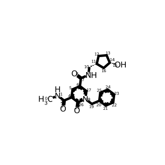 CNC(=O)c1cc(C(=O)NC[C@@H]2CC[C@H](O)C2)cn(Cc2ccccc2)c1=O